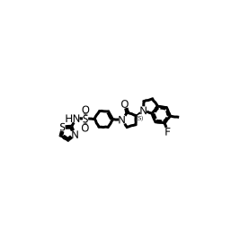 Cc1cc2c(cc1F)N([C@H]1CCN(C3=CCC(S(=O)(=O)Nc4nccs4)CC3)C1=O)CC2